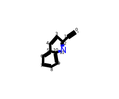 [C]#Cc1ccc2ccccc2n1